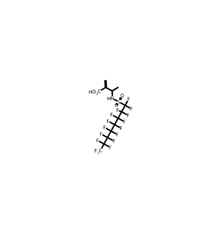 C=C(C(=O)O)C(C)NS(=O)(=O)C(F)(F)C(F)(F)C(F)(F)C(F)(F)C(F)(F)C(F)(F)C(F)(F)C(F)(F)F